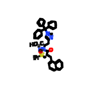 CC(C)[S+]([O-])C[C@@H](Cc1cccc2ccccc12)C(=O)N[C@@H](Cc1cn(C(c2ccccc2)(c2ccccc2)c2ccccc2)cn1)C(=O)O